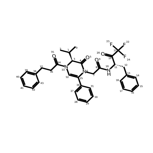 CC(C)[C@H]1C(=O)N(CC(=O)N[C@@H](Cc2ccccc2)C(=O)C(F)(F)F)C(c2ccccc2)=CN1C(=O)CCc1ccccc1